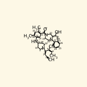 C#C/C=C(\C(C#N)=C/C)N1CCC(Nc2cc(C(=O)N3CCN(c4ccccc4F)C(CO)C3)c(C)cc2C)CC1